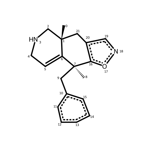 C[C@]12CNCC=C1[C@](C)(Cc1ccccc1)c1oncc1C2